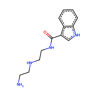 NCCNCCNC(=O)c1c[nH]c2ccccc12